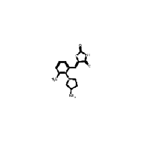 Cc1cccc(/C=C2\SC(=O)NC2=O)c1N1CC[C@@H](N)C1